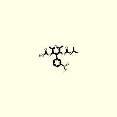 Cc1nc(C)c(OC(=O)OC(C)C)c(-c2cccc([N+](=O)[O-])c2)c1OC(=O)O